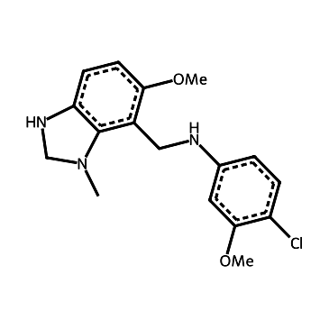 COc1cc(NCc2c(OC)ccc3c2N(C)CN3)ccc1Cl